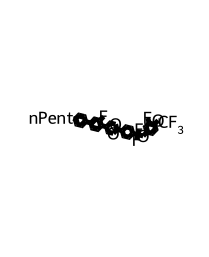 CCCCCc1ccc(-c2ccc(C3COC(C4CCC(C(F)(F)Oc5ccc(OC(F)(F)F)c(F)c5)CC4)OC3)c(F)c2)cc1